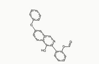 O=COc1ccccc1-c1ncc2cc(Oc3ccccc3)ccc2c1O